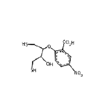 O=C(O)c1cc([N+](=O)[O-])ccc1OC(CS)C(O)CS